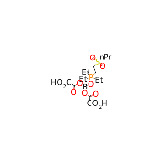 CCCS(=O)(=O)CCP(CC)(CC)(CC)OB(OC(=O)C(=O)O)OC(=O)C(=O)O